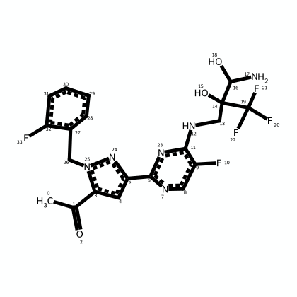 CC(=O)c1cc(-c2ncc(F)c(NCC(O)(C(N)O)C(F)(F)F)n2)nn1Cc1ccccc1F